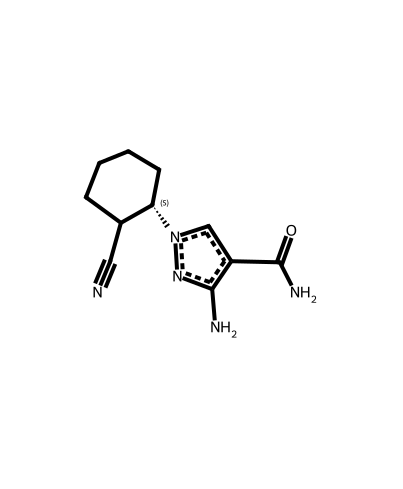 N#CC1CCCC[C@@H]1n1cc(C(N)=O)c(N)n1